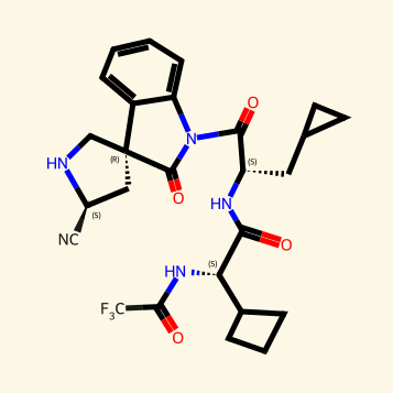 N#C[C@@H]1C[C@@]2(CN1)C(=O)N(C(=O)[C@H](CC1CC1)NC(=O)[C@@H](NC(=O)C(F)(F)F)C1CCC1)c1ccccc12